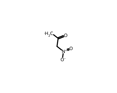 [CH2]C(=O)C[N+](=O)[O-]